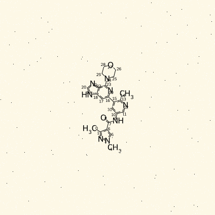 Cc1nn(C)cc1C(=O)Nc1cnc(C)c(-c2cc3[nH]cnc3c(N3CCOCC3)n2)c1